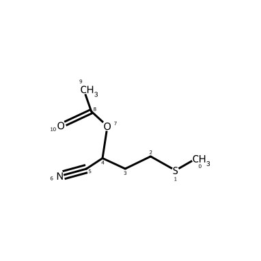 CSCCC(C#N)OC(C)=O